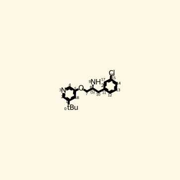 CC(C)(C)c1cncc(OC[C@@H](N)Cc2cccc(Cl)c2)c1